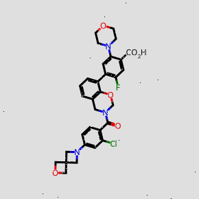 O=C(O)c1cc(F)c(-c2cccc3c2OCN(C(=O)c2ccc(N4CC5(COC5)C4)cc2Cl)C3)cc1N1CCOCC1